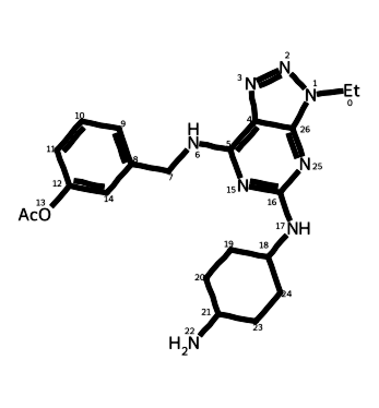 CCn1nnc2c(NCc3cccc(OC(C)=O)c3)nc(NC3CCC(N)CC3)nc21